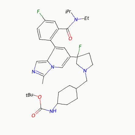 CCN(C(=O)c1cc(F)ccc1-c1cc(C2(F)CCN(CC3CCC(NC(=O)OC(C)(C)C)CC3)C2)cn2c(C)ncc12)C(C)C